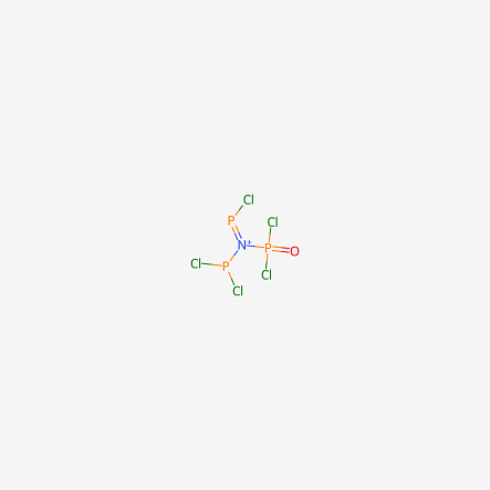 O=P(Cl)(Cl)[N+](=PCl)P(Cl)Cl